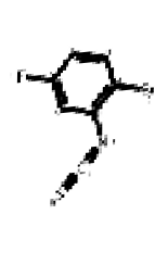 Fc1ccc(Br)c(N=C=S)c1